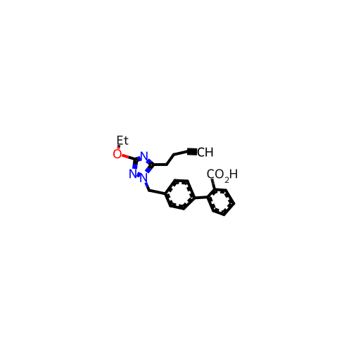 C#CCCc1nc(OCC)nn1Cc1ccc(-c2ccccc2C(=O)O)cc1